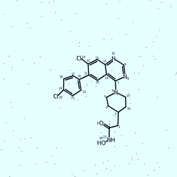 O=C(CC1CCN(c2ncnc3cc(Cl)c(-c4ccc(Cl)cc4)cc23)CC1)NO